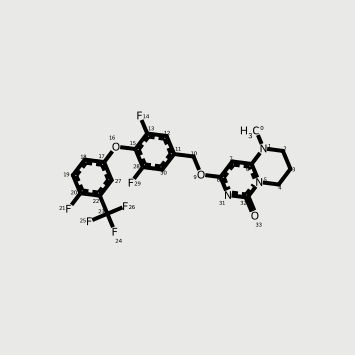 CN1CCCn2c1cc(OCc1cc(F)c(Oc3ccc(F)c(C(F)(F)F)c3)c(F)c1)nc2=O